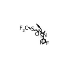 CC#CCN(C(=O)CCSCCC(F)(F)F)c1sc(-c2cncc(F)c2)nc1C